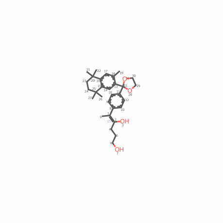 C/C(=C(/O)CCCO)c1ccc(C2(c3cc4c(cc3C)C(C)(C)CCC4(C)C)OCCO2)cc1